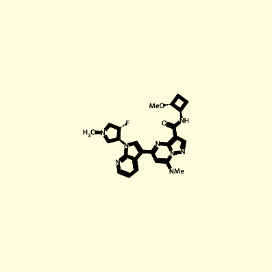 CNc1cc(-c2cn([C@H]3CN(C)C[C@@H]3F)c3ncccc23)nc2c(C(=O)N[C@@H]3CC[C@H]3OC)cnn12